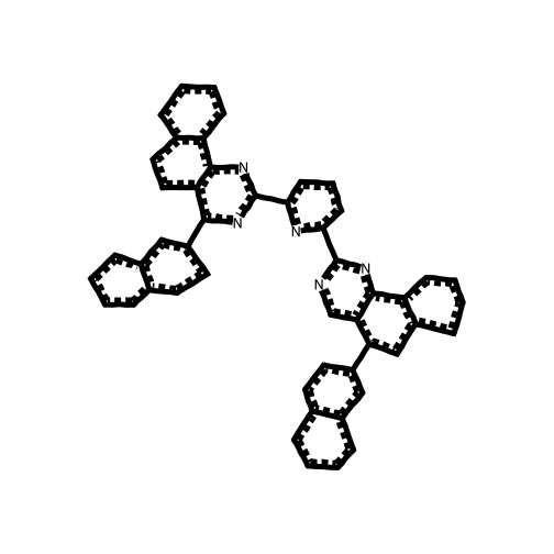 c1cc(-c2ncc3c(-c4ccc5ccccc5c4)cc4ccccc4c3n2)nc(-c2nc(-c3ccc4ccccc4c3)c3ccc4ccccc4c3n2)c1